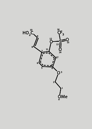 COCCOc1ccc(C=CC(=O)O)c(OS(=O)(=O)C(F)(F)F)c1